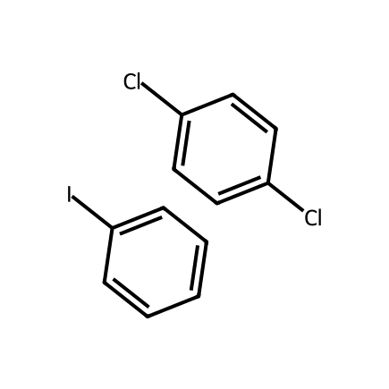 Clc1ccc(Cl)cc1.Ic1ccccc1